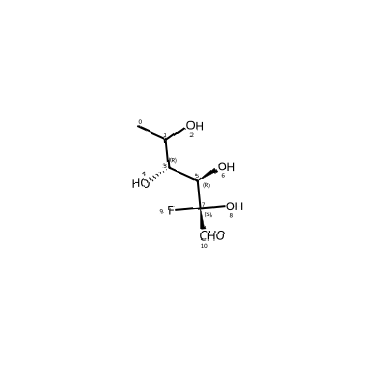 CC(O)[C@@H](O)[C@@H](O)[C@](O)(F)C=O